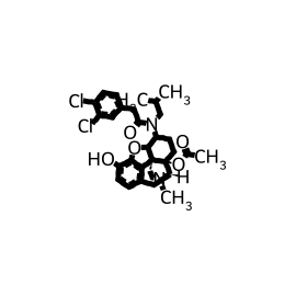 CC(=O)O[C@@]12CCC(N(CC(C)C)C(=O)Cc3ccc(Cl)c(Cl)c3)C3Oc4c(O)ccc5c4[C@@]31CCN(C)[C@@H]2C5